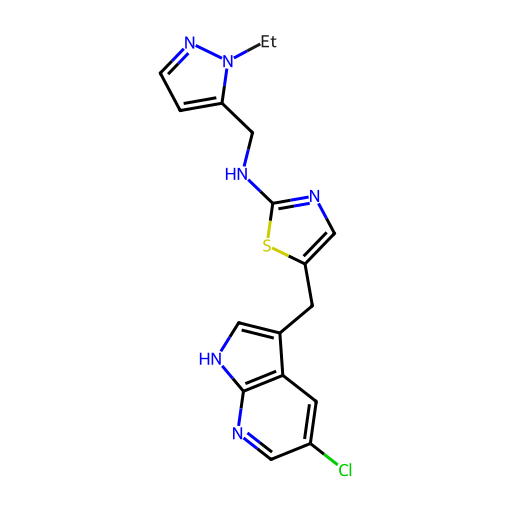 CCn1nccc1CNc1ncc(Cc2c[nH]c3ncc(Cl)cc23)s1